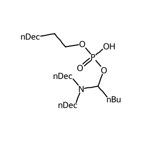 CCCCCCCCCCCCOP(=O)(O)OC(CCCC)N(CCCCCCCCCC)CCCCCCCCCC